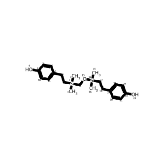 C[Si](C)(CCc1ccc(O)cc1)CO[Si](C)(C)CCc1ccc(O)cc1